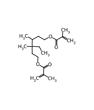 C=C(C)C(=O)OCCC(C)C(C)(CC)CCOC(=O)C(=C)C